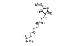 CNC(=O)CCOCCNC(=O)CCN1C(=O)CC(SC)C1=O